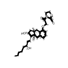 CCCCC[C@H](O)CC[C@@H]1[C@H]2Cc3cccc(OCC(=O)N4CCOC4=O)c3C[C@H]2C[C@H]1O